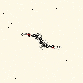 Cc1c(NC(=O)c2nc3c(n2C)CCN(CCC24CCC(C(=O)O)(CC2)C4)C3)cccc1-c1cccc(NC(=O)c2nc3c(n2C)CCN(CCC24CCC(C=O)(CC2)C4)C3)c1Cl